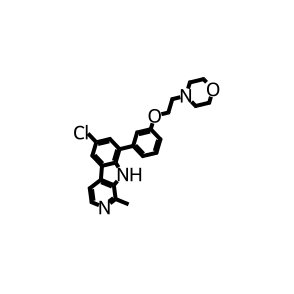 Cc1nccc2c1[nH]c1c(-c3cccc(OCCN4CCOCC4)c3)cc(Cl)cc12